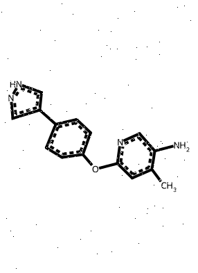 Cc1cc(Oc2ccc(-c3cn[nH]c3)cc2)ncc1N